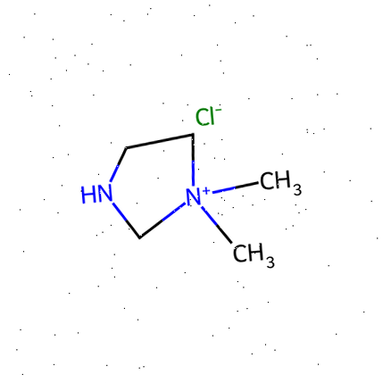 C[N+]1(C)CCNC1.[Cl-]